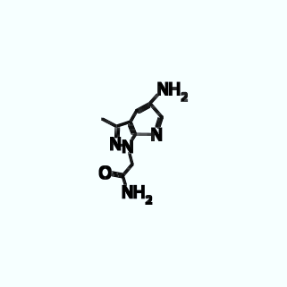 Cc1nn(CC(N)=O)c2ncc(N)cc12